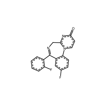 O=c1ccn2c(n1)CN=C(c1ccccc1F)c1cc(F)ccc1-2